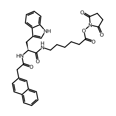 O=C(Cc1ccc2ccccc2c1)N[C@@H](Cc1c[nH]c2ccccc12)C(=O)NCCCCCC(=O)ON1C(=O)CCC1=O